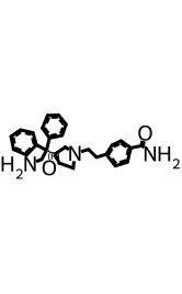 NC(=O)c1ccc(CCN2CC[C@H](C(C(N)=O)(c3ccccc3)c3ccccc3)C2)cc1